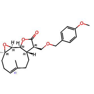 COc1ccc(COC[C@@H]2C(=O)O[C@H]3[C@H]2CC/C(C)=C/CC[C@@]2(C)O[C@@H]32)cc1